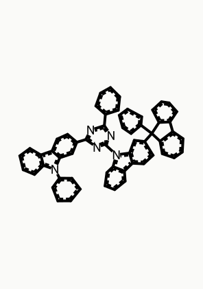 c1ccc(-c2nc(-c3ccc4c5ccccc5n(-c5ccccc5)c4c3)nc(-n3c4ccccc4c4ccc(C5(c6ccccc6)c6ccccc6-c6ccccc65)cc43)n2)cc1